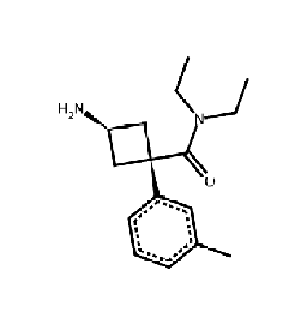 CCN(CC)C(=O)[C@]1(c2cccc(C)c2)C[C@@H](N)C1